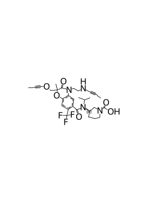 CC#CNCCN1C(=O)C(C)(COC#CC)Oc2cc(C(F)(F)F)c(C(=O)N(C(C)C)[C@@H]3CCCN(C(=O)O)C3)cc21